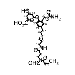 C/C=C\C(=O)N(C=O)CCC(=O)NCCOCCCc1ccc(OC2CC(O)CC(C(=O)O)O2)c(COC(N)=O)c1